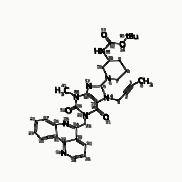 CC#CCn1c(N2CCCC(NC(=O)OC(C)(C)C)C2)nc2c1c(=O)n(Cc1nc3ccccc3c3ncccc13)c(=O)n2C